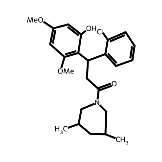 COc1cc(O)c(C(CC(=O)N2CC(C)CC(C)C2)c2ccccc2Cl)c(OC)c1